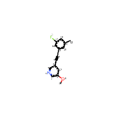 COc1cncc(C#Cc2cc(C)cc(F)c2)c1